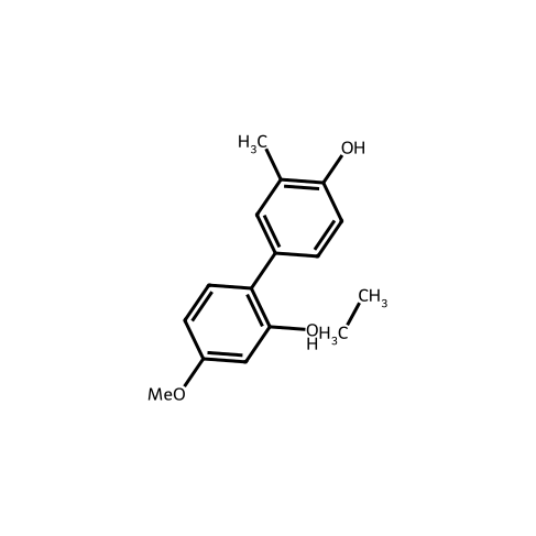 CC.COc1ccc(-c2ccc(O)c(C)c2)c(O)c1